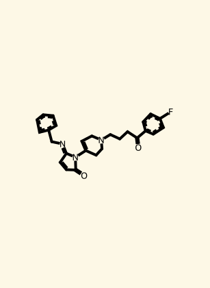 O=C(CCCN1CC=C(N2C(=O)C=CC2=NCc2ccccc2)CC1)c1ccc(F)cc1